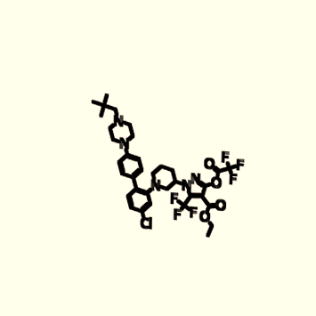 CCOC(=O)c1c(OC(=O)C(F)(F)F)nn(C2CCCN(c3cc(Cl)ccc3-c3ccc(N4CCN(CC(C)(C)C)CC4)cc3)C2)c1C(F)(F)F